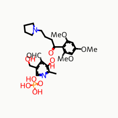 COc1cc(OC)c(C(=O)CCCN2CCCC2)c(OC)c1.Cc1ncc(CO)c(C=O)c1O.O=P(O)(O)O